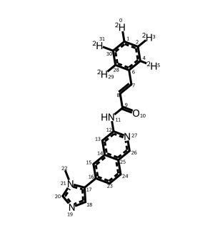 [2H]c1c([2H])c([2H])c(/C=C/C(=O)Nc2cc3cc(-c4cncn4C)ccc3cn2)c([2H])c1[2H]